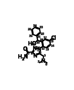 CN(C)Cc1nc(C(N)=O)nn1-c1ccc(Cl)cc1C(O)c1ccccc1